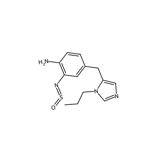 CCCn1cncc1Cc1ccc(N)c(N=S=O)c1